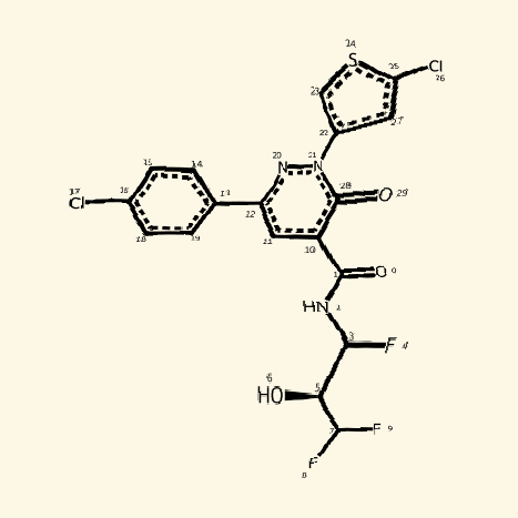 O=C(NC(F)[C@H](O)C(F)F)c1cc(-c2ccc(Cl)cc2)nn(-c2csc(Cl)c2)c1=O